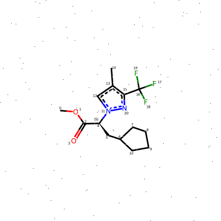 COC(=O)[C@H](CC1CCCC1)n1cc(C)c(C(F)(F)F)n1